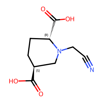 N#CCN1C[C@@H](C(=O)O)CC[C@@H]1C(=O)O